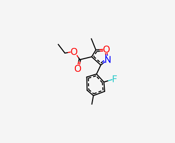 CCOC(=O)c1c(-c2ccc(C)cc2F)noc1C